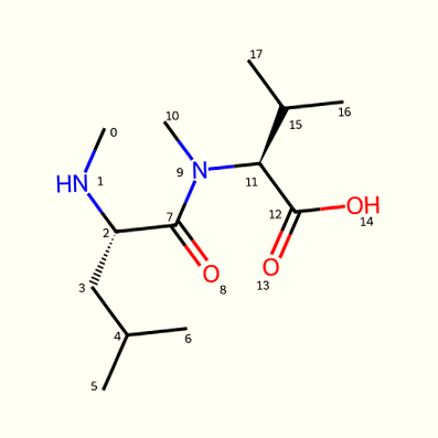 CN[C@@H](CC(C)C)C(=O)N(C)[C@H](C(=O)O)C(C)C